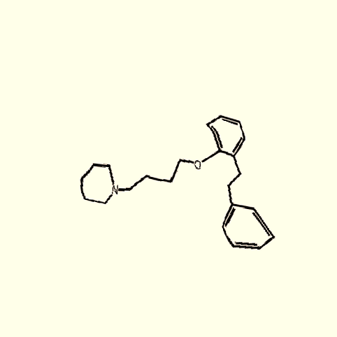 c1ccc(CCc2ccccc2OCCCCN2CCCCC2)cc1